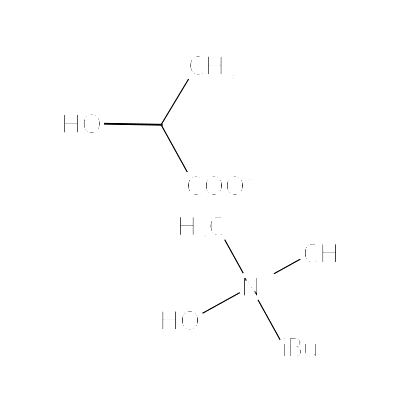 CC(O)C(=O)[O-].CCC(C)[N+](C)(C)O